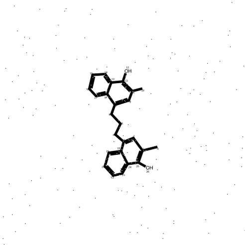 Cc1cc(CCCc2cc(C)c(O)c3ccccc23)c2ccccc2c1O